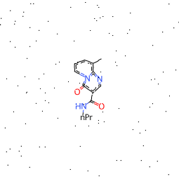 CCCNC(=O)c1cnc2c(C)cccn2c1=O